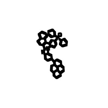 O=P(c1ccccc1)(c1ccccc1)c1ccc2c(c1)c1c3ccccc3ccc1c1nc3ccc(-c4ccc5ccc6cccc7ccc4c5c67)cc3n21